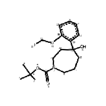 CC(C)(C)OC(=O)N1CCCC(O)(c2ccccc2OCF)CC1